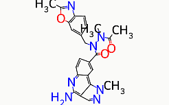 CC(=O)N(C)N(Cc1ccc2nc(C)oc2c1)C(=O)c1ccc2nc(N)c3cnn(C)c3c2c1